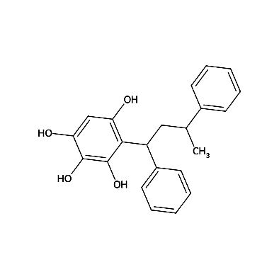 CC(CC(c1ccccc1)c1c(O)cc(O)c(O)c1O)c1ccccc1